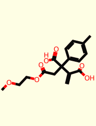 C=C(C(=O)O)C(CC(=O)OCCOC)(C(=O)O)c1ccc(C)cc1